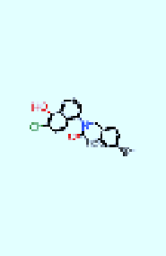 CCCCC(=O)N(Cc1ccc(C(C)C)cc1)c1cccc2c(O)c(Cl)ccc12